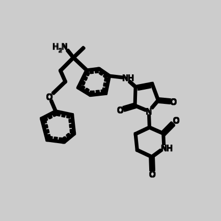 CC(N)(CCOc1ccccc1)c1cccc(NC2=CC(=O)N(C3CCC(=O)NC3=O)C2=O)c1